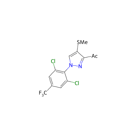 CSc1cn(-c2c(Cl)cc(C(F)(F)F)cc2Cl)nc1C(C)=O